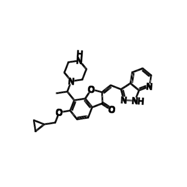 CC(c1c(OCC2CC2)ccc2c1OC(=Cc1n[nH]c3ncccc13)C2=O)N1CCNCC1